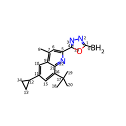 Bc1nnc(-c2cc(C)c3cc(C4CC4)cc(C(C)(C)C)c3n2)o1